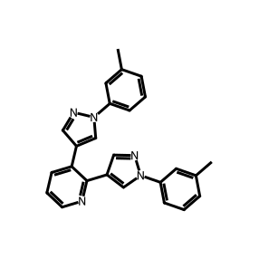 Cc1cccc(-n2cc(-c3cccnc3-c3cnn(-c4cccc(C)c4)c3)cn2)c1